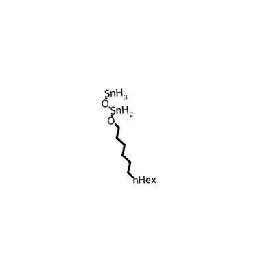 CCCCCCCCCCCC[O][SnH2][O][SnH3]